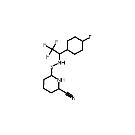 N#CC1CCCC(SNC(C2CCC(F)CC2)C(F)(F)F)N1